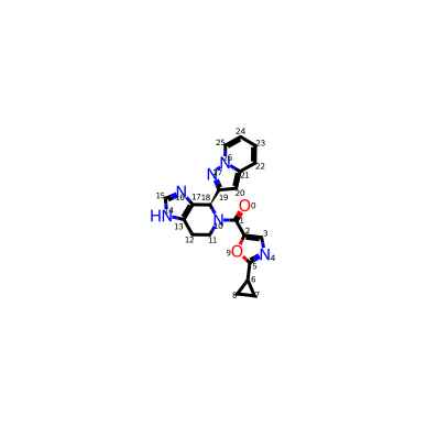 O=C(c1cnc(C2CC2)o1)N1CCc2[nH]cnc2[C@H]1c1cc2ccccn2n1